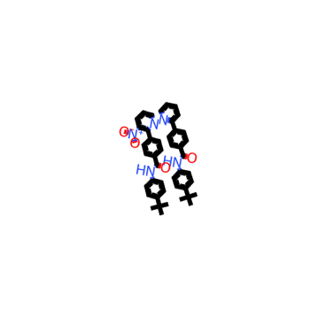 CC(C)(C)c1ccc(NC(=O)c2ccc(-c3ccccn3)cc2)cc1.CC(C)(C)c1ccc(NC(=O)c2ccc(-c3ncccc3[N+](=O)[O-])cc2)cc1